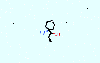 C=CC(O)C1(N)CCCCC1